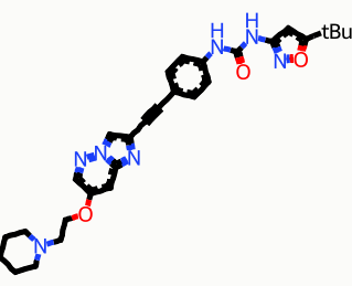 CC(C)(C)c1cc(NC(=O)Nc2ccc(C#Cc3cn4ncc(OCCN5CCCCC5)cc4n3)cc2)no1